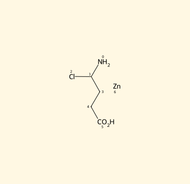 NC(Cl)CCC(=O)O.[Zn]